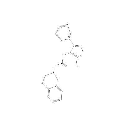 Cc1onc(-c2ccccc2)c1NC(=O)OC1CCc2ccccc2C1